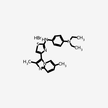 Br.CCN(CC)c1ccc(Nc2nc(-c3c(C)nc4ccc(C)cn34)cs2)cc1